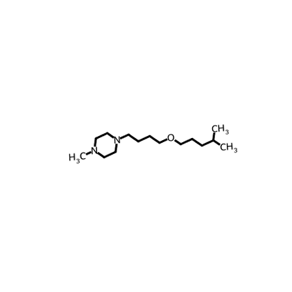 CC(C)CCCOCCCCN1CCN(C)CC1